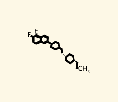 CCC[C@H]1CC[C@H](CCC2CCC(c3ccc4c(F)c(F)ccc4c3)CC2)CC1